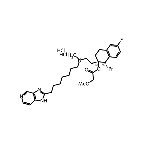 COCC(=O)O[C@]1(CCN(C)CCCCCCCc2nc3cnccc3[nH]2)CCc2cc(F)ccc2[C@@H]1C(C)C.Cl.Cl